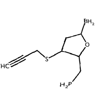 BC1CC(SCC#C)C(CP)O1